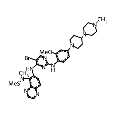 COc1cc(N2CCC(N3CCN(C)CC3)CC2)ccc1Nc1ncc(Br)c(Nc2ccc3nccnc3c2N(C)SC)n1